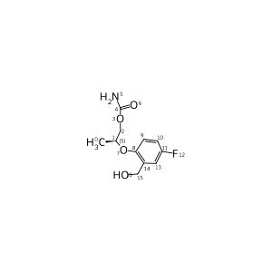 C[C@@H](COC(N)=O)Oc1ccc(F)cc1CO